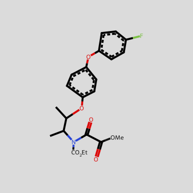 CCOC(=O)N(C(=O)C(=O)OC)C(C)C(C)Oc1ccc(Oc2ccc(F)cc2)cc1